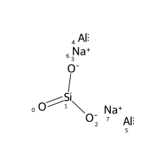 O=[Si]([O-])[O-].[Al].[Al].[Na+].[Na+]